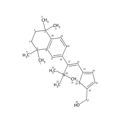 CC1(C)CCC(C)(C)c2cc(/C(=C/c3ccc(CO)s3)[Si](C)(C)C)ccc21